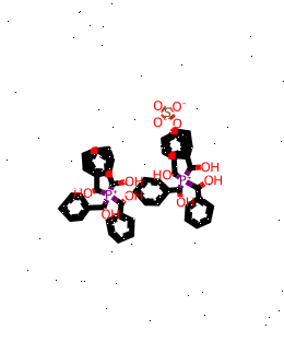 O=S(=O)([O-])[O-].OC(c1ccccc1)[P+](C(O)c1ccccc1)(C(O)c1ccccc1)C(O)c1ccccc1.OC(c1ccccc1)[P+](C(O)c1ccccc1)(C(O)c1ccccc1)C(O)c1ccccc1